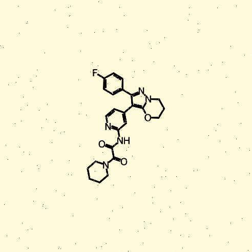 O=C(Nc1cc(-c2c(-c3ccc(F)cc3)nn3c2OCCC3)ccn1)C(=O)N1CCCCC1